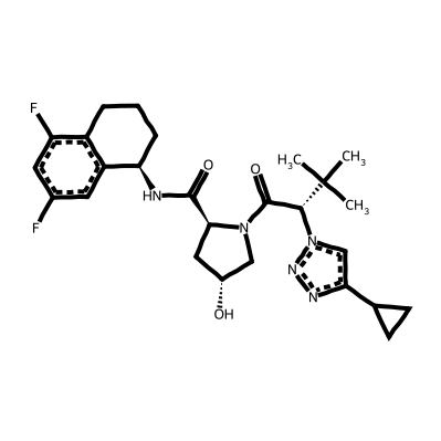 CC(C)(C)[C@@H](C(=O)N1C[C@H](O)C[C@H]1C(=O)N[C@@H]1CCCc2c(F)cc(F)cc21)n1cc(C2CC2)nn1